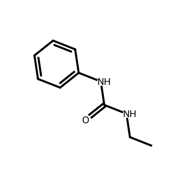 CCNC(=O)Nc1ccccc1